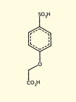 O=C(O)COc1ccc(S(=O)(=O)O)cc1